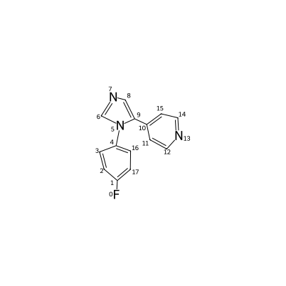 Fc1ccc(-n2cncc2-c2ccncc2)cc1